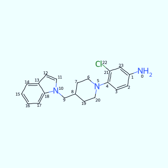 Nc1ccc(N2CCC(Cn3ccc4ccccc43)CC2)c(Cl)c1